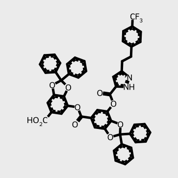 O=C(O)c1cc(OC(=O)c2cc(OC(=O)c3cc(CCc4ccc(C(F)(F)F)cc4)n[nH]3)c3c(c2)OC(c2ccccc2)(c2ccccc2)O3)c2c(c1)OC(c1ccccc1)(c1ccccc1)O2